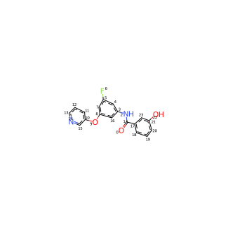 O=C(Nc1cc(F)cc(Oc2cccnc2)c1)c1cccc(O)c1